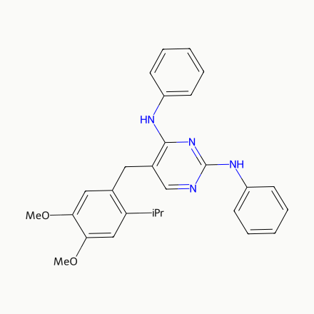 COc1cc(Cc2cnc(Nc3ccccc3)nc2Nc2ccccc2)c(C(C)C)cc1OC